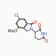 COc1cc(Cl)cc2c1CN(C1CCC(=O)NC1=O)C2=O